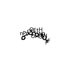 CCC[C@@]1(CCc2ccccc2)CC(O)=C([C@H](CC)c2cccc(NS(=O)(=O)c3ccc(C(F)F)cn3)c2)C(=O)O1